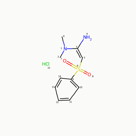 CN(C)C(N)=CS(=O)(=O)c1ccccc1.Cl